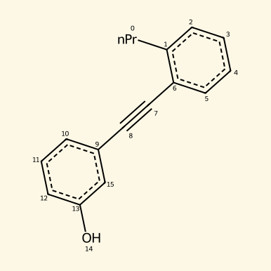 CCCc1ccccc1C#Cc1cccc(O)c1